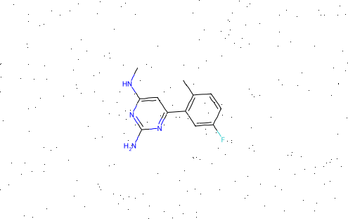 CNc1cc(-c2cc(F)ccc2C)nc(N)n1